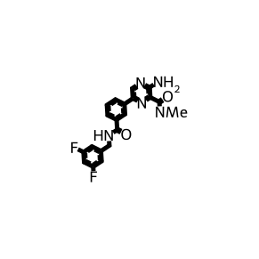 CNC(=O)c1nc(-c2cccc(C(=O)NCc3cc(F)cc(F)c3)c2)cnc1N